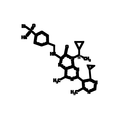 CCS(=N)(=O)c1ccc(CNc2nc3c(C)nc(-c4c(C)ncnc4C4CC4)nc3n([C@@H](C)C3CC3)c2=O)cc1